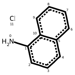 Nc1cccc2ccccc12.[C]